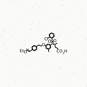 CCON=Cc1ccc(CCOc2cc(C)cc(N(C(C)CCC(=O)O)S(=O)(=O)c3ccccc3Cl)c2)cc1